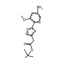 Bc1cnc(-c2nc(CC(=O)OC(C)(C)C)no2)c(OC)c1